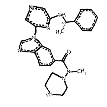 C[C@H](Nc1cncc(-n2cnc3ccc(C(=O)N(C)N4CCNCC4)cc32)n1)c1ccccc1